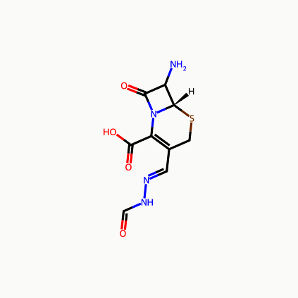 NC1C(=O)N2C(C(=O)O)=C(C=NNC=O)CS[C@@H]12